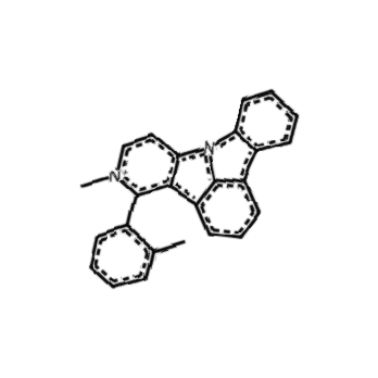 Cc1ccccc1-c1c2c3cccc4c5ccccc5n(c2cc[n+]1C)c43